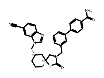 N#Cc1ccc2ncn(C[C@H]3CCC[C@]4(C3)CN(Cc3cccc(-c5ccc(C(N)=O)cc5)c3)C(=O)O4)c2c1